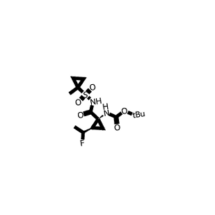 CC(F)[C@@H]1C[C@]1(NC(=O)OC(C)(C)C)C(=O)NS(=O)(=O)C1(C)CC1